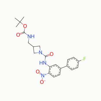 CC(C)(C)OC(=O)NCC1CN(C(=O)Nc2cc(-c3ccc(F)cc3)ccc2[N+](=O)[O-])C1